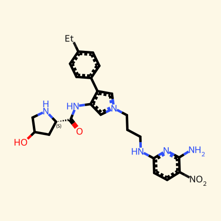 CCc1ccc(-c2cn(CCCNc3ccc([N+](=O)[O-])c(N)n3)cc2NC(=O)[C@@H]2CC(O)CN2)cc1